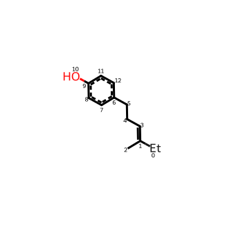 CC/C(C)=C/CCc1ccc(O)cc1